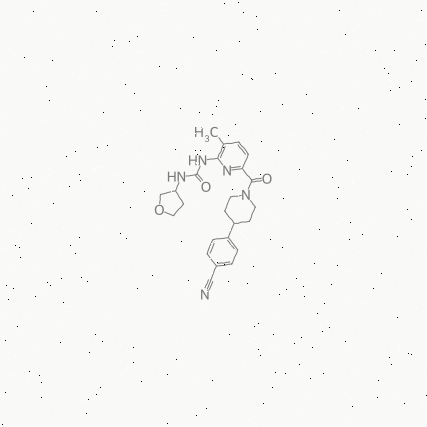 Cc1ccc(C(=O)N2CCC(c3ccc(C#N)cc3)CC2)nc1NC(=O)NC1CCOC1